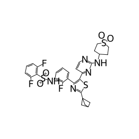 O=S1(=O)CCC(Nc2nccc(-c3sc(C45CC(C4)C5)nc3-c3cccc(NS(=O)(=O)c4c(F)cccc4F)c3F)n2)CC1